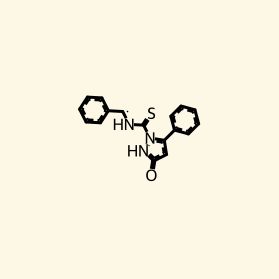 O=c1cc(-c2ccccc2)n(C(=S)N[CH]c2ccccc2)[nH]1